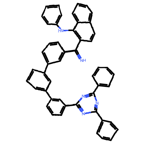 N=C(c1cccc(-c2cccc(-c3cccc(-c4nc(-c5ccccc5)nc(-c5ccccc5)n4)c3)c2)c1)c1ccc2ccccc2c1Nc1ccccc1